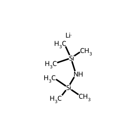 C[Si](C)(C)N[Si](C)(C)C.[Li]